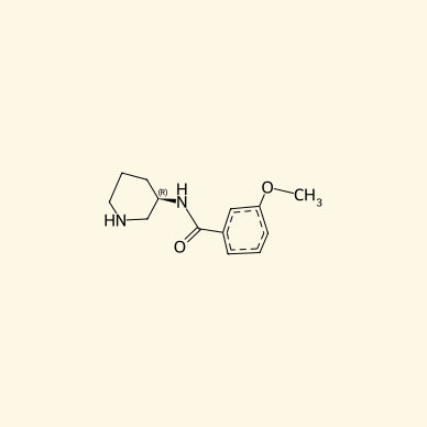 COc1cccc(C(=O)N[C@@H]2CCCNC2)c1